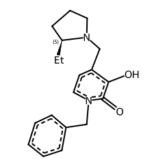 CC[C@H]1CCCN1Cc1ccn(Cc2ccccc2)c(=O)c1O